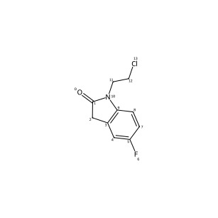 O=C1Cc2cc(F)ccc2N1CCCl